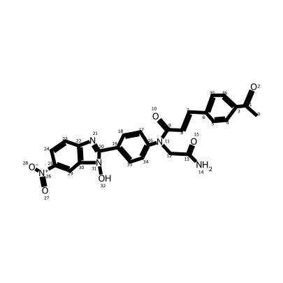 CC(=O)c1ccc(C=CC(=O)N(CC(N)=O)c2ccc(-c3nc4ccc([N+](=O)[O-])cc4n3O)cc2)cc1